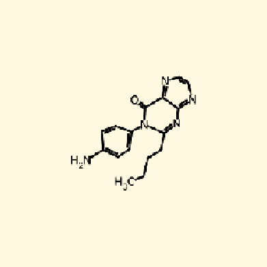 CCCCc1nc2nccnc2c(=O)n1-c1ccc(N)cc1